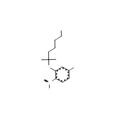 CC(C)(CCCCO)Nc1cc(Br)ccc1[N+](=O)[O-]